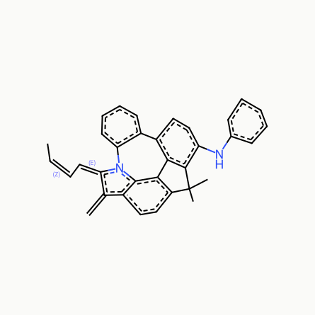 C=c1/c(=C\C=C/C)n2c3c4c(ccc13)C(C)(C)c1c(Nc3ccccc3)ccc(c1-4)-c1ccccc1-2